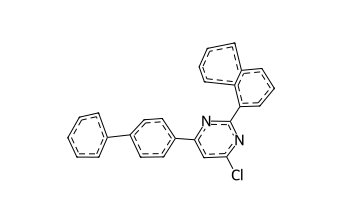 Clc1cc(-c2ccc(-c3ccccc3)cc2)nc(-c2cccc3ccccc23)n1